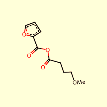 COCCCC(=O)OC(=O)c1ccco1